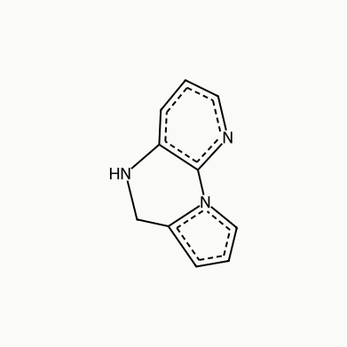 c1cnc2c(c1)NCc1cccn1-2